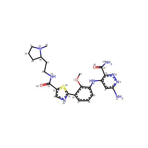 COc1c(Nc2cc(N)nnc2C(N)=O)cccc1-c1ncc(C(=O)NCCC2CCCN2C)s1